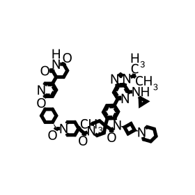 CC(C)n1cnc2cc(-c3ccc4c(c3)N([C@H]3C[C@@H](N5CCCCC5)C3)C(=O)C43CCN(C(=O)C4(C)CCN(C(=O)[C@H]5CC[C@H](Oc6ccc(C7CCC(=O)NC7=O)cn6)CC5)CC4)CC3)nc(NC3CC3)c21